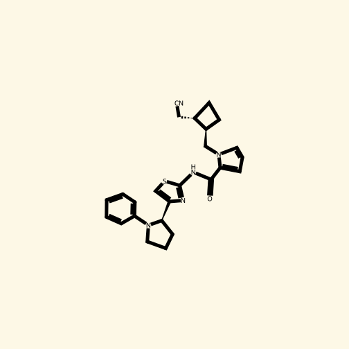 N#CC[C@@H]1CC[C@H]1Cn1cccc1C(=O)Nc1nc([C@H]2CCCN2c2ccccc2)cs1